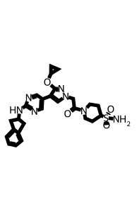 NS(=O)(=O)C1CCN(C(=O)Cn2cc(-c3cnc(NC4Cc5ccccc5C4)nc3)c(OC3CC3)n2)CC1